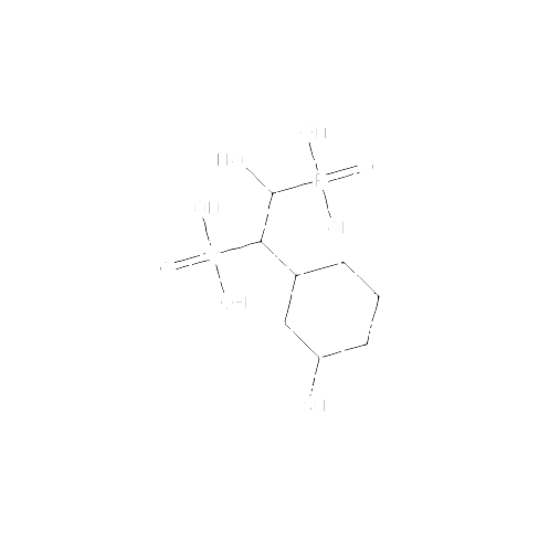 O=P(O)(O)C(O)C(C1CCCC(S)C1)P(=O)(O)O